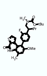 COc1cc(C)c2[nH]c(=O)c3sccc3c2c1-c1ccc(C(CN(C)C(=O)OC(C)(C)C)C(C)C)c(F)c1